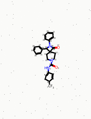 O=C(NC1=CCC(C(F)(F)F)C=C1)N1CCC2(CC1)C(=O)N(c1ccccc1)C2c1ccccc1